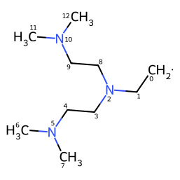 [CH2]CN(CCN(C)C)CCN(C)C